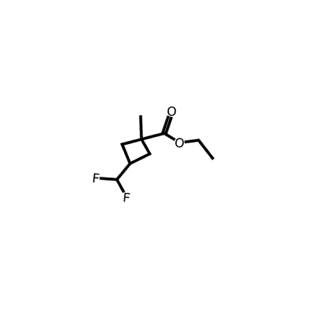 CCOC(=O)C1(C)CC(C(F)F)C1